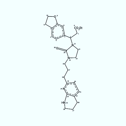 CCOC(=O)CC(c1ccc2c(c1)OCC2)N1CCN(CCCc2ccc3c(n2)NCCC3)C1=O